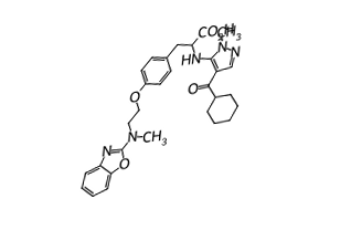 CN(CCOc1ccc(CC(Nc2c(C(=O)C3CCCCC3)cnn2C)C(=O)O)cc1)c1nc2ccccc2o1